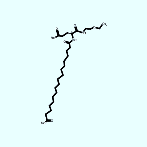 CCOCCNC(=O)[C@H](CCC(=O)O)NC(=O)CCCCCCCCCCCCCCCCC(=O)O